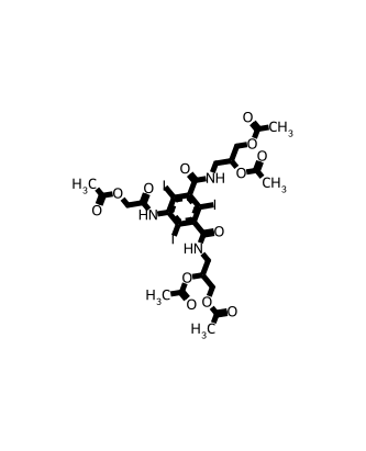 CC(=O)OCC(=O)Nc1c(I)c(C(=O)NCC(COC(C)=O)OC(C)=O)c(I)c(C(=O)NCC(COC(C)=O)OC(C)=O)c1I